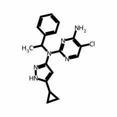 CC(c1ccccc1)N(c1cc(C2CC2)[nH]n1)c1ncc(Cl)c(N)n1